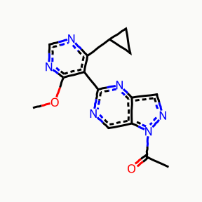 COc1ncnc(C2CC2)c1-c1ncc2c(cnn2C(C)=O)n1